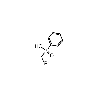 CC(C)CP(=O)(O)c1ccccc1